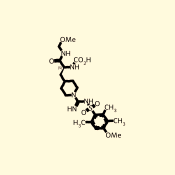 COCNC(=O)[C@H](CC1CCN(C(=N)NS(=O)(=O)c2c(C)cc(OC)c(C)c2C)CC1)NC(=O)O